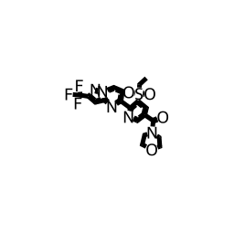 CCS(=O)(=O)c1cc(C(=O)N2CCOCC2)cnc1-c1ccn2nc(C(F)(F)F)cc2n1